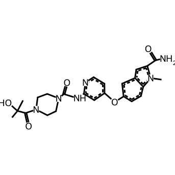 Cn1c(C(N)=O)cc2cc(Oc3ccnc(NC(=O)N4CCN(C(=O)C(C)(C)O)CC4)c3)ccc21